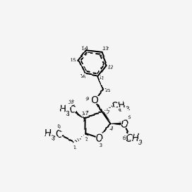 CC[C@H]1O[C@H](OC)[C@](C)(OCc2ccccc2)[C@@H]1C